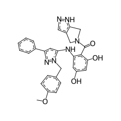 COc1ccc(Cn2nc(-c3ccccc3)cc2Nc2cc(O)cc(O)c2C(=O)N2Cc3cn[nH]c3C2)cc1